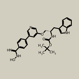 CC(C)(C)OC(=O)N[C@H](COc1cncc(-c2ccc(C(=N)NO)cc2)c1)Cc1c[nH]c2ccccc12